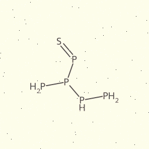 PPP(P)P=S